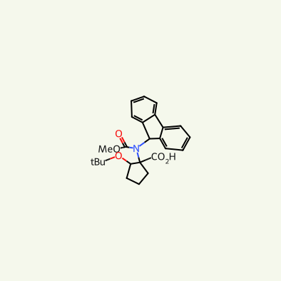 COC(=O)N(C1c2ccccc2-c2ccccc21)C1(C(=O)O)CCCC1OC(C)(C)C